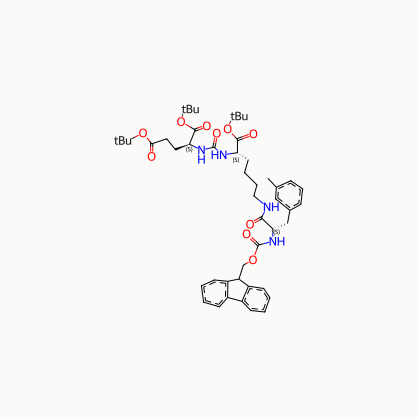 Cc1cccc(C[C@H](NC(=O)OCC2c3ccccc3-c3ccccc32)C(=O)NCCCC[C@H](NC(=O)N[C@@H](CCC(=O)OC(C)(C)C)C(=O)OC(C)(C)C)C(=O)OC(C)(C)C)c1